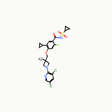 CC1(COc2cc(F)c(C(=O)NS(=O)(=O)C3CC3)cc2C2CC2)CN(c2ncc(Cl)cc2Cl)C1